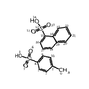 Cc1ccc(S(=O)(=O)O)cc1.O=S(=O)(O)c1cccc2ccccc12